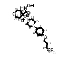 O=C(NO)C1(S(=O)(=O)N2CCN(c3ccc(OCCCC(F)(F)F)cc3)CC2)CCOCC1